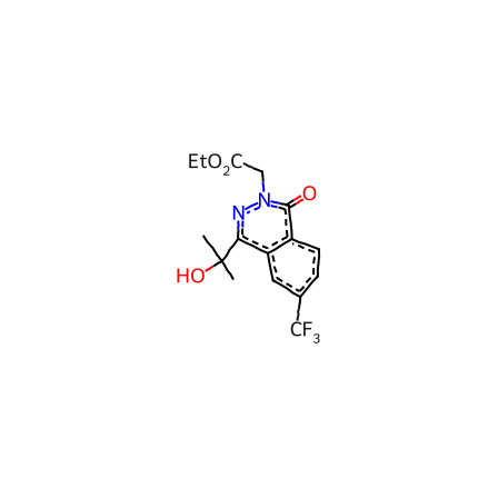 CCOC(=O)Cn1nc(C(C)(C)O)c2cc(C(F)(F)F)ccc2c1=O